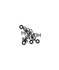 C/C(O)=C(/C(=O)OC(c1ccccc1)c1ccccc1)N1C(=O)C(NC(=O)COc2ccccc2)C1SSc1nc2ccccc2s1